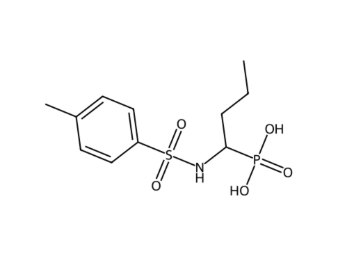 CCCC(NS(=O)(=O)c1ccc(C)cc1)P(=O)(O)O